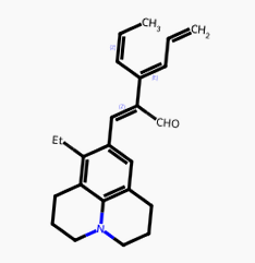 C=C/C=C(\C=C/C)C(/C=O)=C/c1cc2c3c(c1CC)CCCN3CCC2